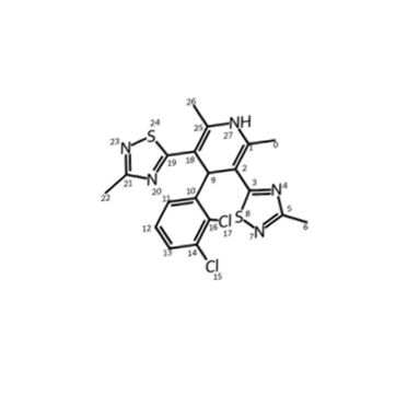 CC1=C(c2nc(C)ns2)C(c2cccc(Cl)c2Cl)C(c2nc(C)ns2)=C(C)N1